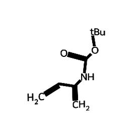 C=CC(=C)NC(=O)OC(C)(C)C